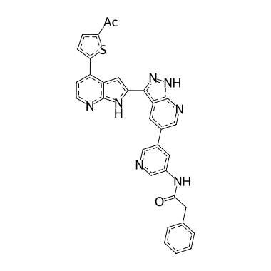 CC(=O)c1ccc(-c2ccnc3[nH]c(-c4n[nH]c5ncc(-c6cncc(NC(=O)Cc7ccccc7)c6)cc45)cc23)s1